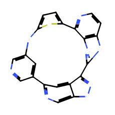 c1cc2[nH]c3nc2c(n1)c1ccc([nH]c2cncc(c2)c2cc4c(cn2)[nH]nc34)s1